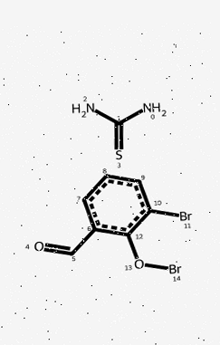 NC(N)=S.O=Cc1cccc(Br)c1OBr